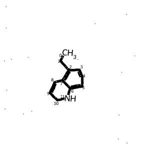 CCc1cccc2c1C=CCN2